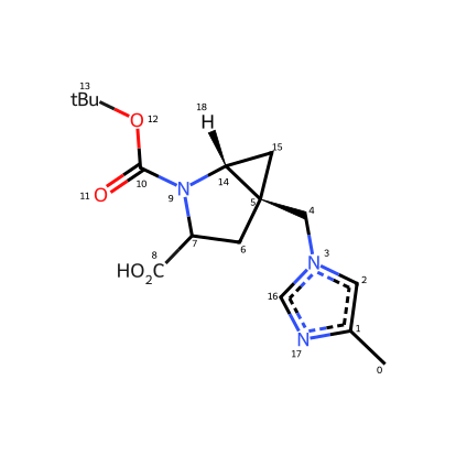 Cc1cn(C[C@@]23CC(C(=O)O)N(C(=O)OC(C)(C)C)[C@@H]2C3)cn1